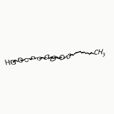 CCCCCCCCCCCCCOCCOCCOCCOCCOCCOCCOCCOCCO